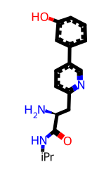 CC(C)NC(=O)[C@@H](N)Cc1ccc(-c2cccc(O)c2)cn1